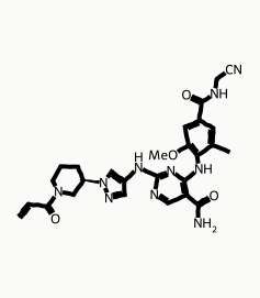 C=CC(=O)N1CCC[C@@H](n2cc(Nc3ncc(C(N)=O)c(Nc4c(C)cc(C(=O)NCC#N)cc4OC)n3)cn2)C1